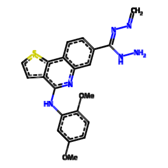 C=N/N=C(\NN)c1ccc2c(c1)nc(Nc1cc(OC)ccc1OC)c1ccsc12